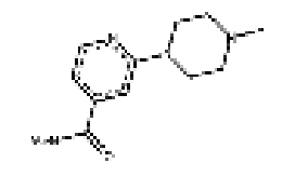 CNC(=O)c1ccnc(N2CCN(C)CC2)c1